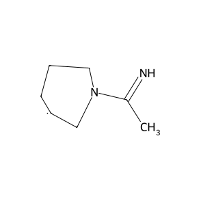 CC(=N)N1C[CH]CCC1